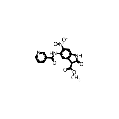 COC(=O)C1C(=O)Nc2cc([N+](=O)[O-])c(NC(=O)c3cccnc3)cc21